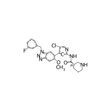 COc1cc2nnn(Cc3cccc(F)c3)c2cc1-c1cc(NC(=O)[C@@H]2CCCNC2)ncc1Cl